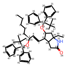 CCCCC[C@@H](C=CC1C(O[Si](c2ccccc2)(c2ccccc2)C(C)(C)C)CC2(CC)NC(=O)CC12)O[Si](c1ccccc1)(c1ccccc1)C(C)(C)C